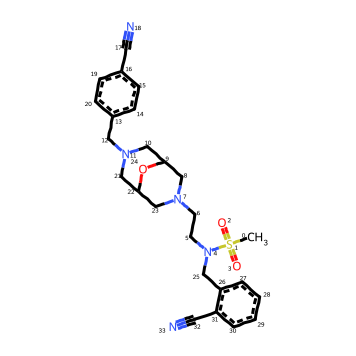 CS(=O)(=O)N(CCN1CC2CN(Cc3ccc(C#N)cc3)CC(C1)O2)Cc1ccccc1C#N